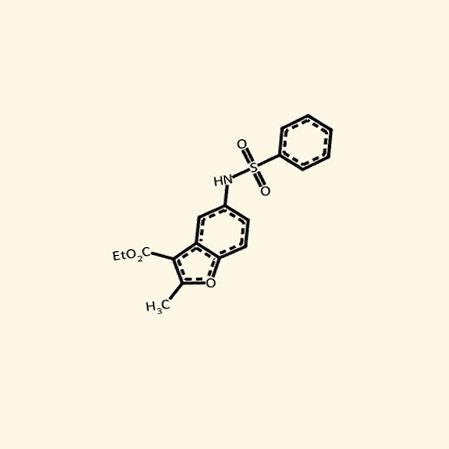 CCOC(=O)c1c(C)oc2ccc(NS(=O)(=O)c3ccccc3)cc12